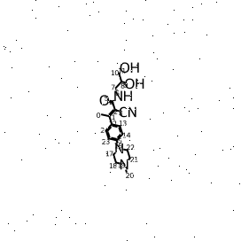 C/C(=C(/C#N)C(=O)NCC(O)CO)c1ccc(N2CCN(C)CC2)cc1